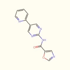 O=C(Nc1ncc(-c2ccccn2)cn1)c1cnco1